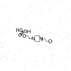 [O]CCN1CCN(CCOP(=O)(O)O)CC1